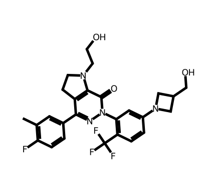 Cc1cc(-c2nn(-c3cc(N4CC(CO)C4)ccc3C(F)(F)F)c(=O)c3c2CCN3CCO)ccc1F